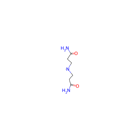 NC(=O)CC[N]CCC(N)=O